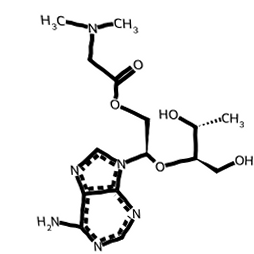 C[C@@H](O)[C@@H](CO)O[C@H](COC(=O)CN(C)C)n1cnc2c(N)ncnc21